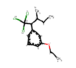 CCOc1cccc(C(C(C)CC)C(Cl)(Cl)Cl)c1